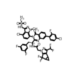 Cn1nc(NS(C)(=O)=O)c2c(Cl)ccc(-n3c([C@H](Cc4cc(F)cc(F)c4)NC(=O)Cn4nc(C(F)F)c5c4C(F)(F)C4CC54)nc4cc(-c5ccc(Cl)cc5F)ccc4c3=O)c21